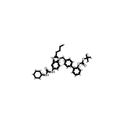 CCCCc1nc2cc(NC(=O)NC3CCCCC3)ccc2n1Cc1ccc(-c2ccccc2OC(=O)OC(C)(C)C)cc1